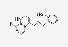 CC(C)(C)c1ccccc1CCCC1=CCNc2c(F)cccc21